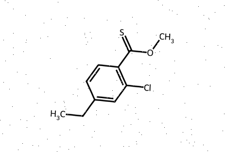 CCc1ccc(C(=S)OC)c(Cl)c1